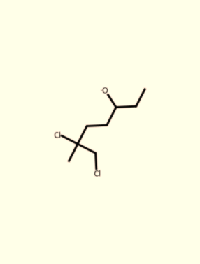 CCC([O])CCC(C)(Cl)CCl